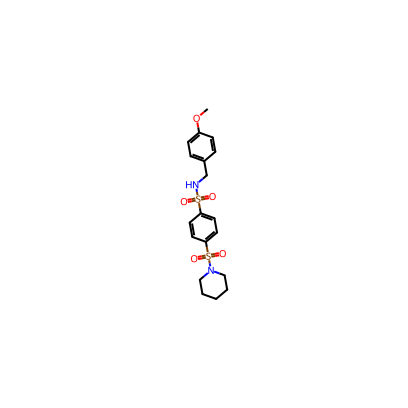 COc1ccc(CNS(=O)(=O)c2ccc(S(=O)(=O)N3CCCCC3)cc2)cc1